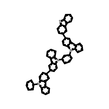 c1ccc(-n2c3ccccc3c3cc(-c4ccc5c(c4)c4ccccc4n5-c4cccc(-n5c6ccccc6c6cc(-c7ccc8sc9ccccc9c8c7)ccc65)c4)ccc32)cc1